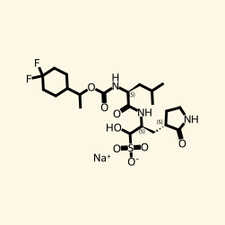 CC(C)C[C@H](NC(=O)OC(C)C1CCC(F)(F)CC1)C(=O)N[C@@H](C[C@@H]1CCNC1=O)C(O)S(=O)(=O)[O-].[Na+]